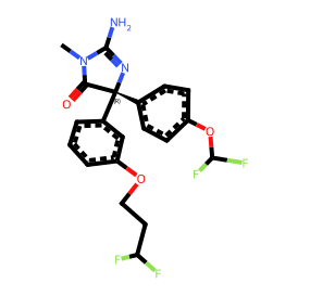 CN1C(=O)[C@@](c2ccc(OC(F)F)cc2)(c2cccc(OCCC(F)F)c2)N=C1N